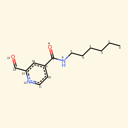 CCCCCCNC(=O)c1ccnc([C]=O)c1